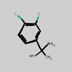 BC(C)(CCC)c1ccc(F)c(F)c1